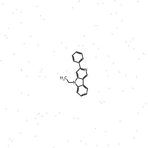 CCn1c2ccccc2c2cnc(-c3ccccc3)cc21